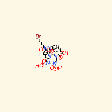 CC(C)(C)OC(=O)CN1CCN(CC(=O)O)CCN(CC(=O)O)CCN(CC(=O)O)CC1Cc1ccc(NC(=O)CCCCCCBr)cc1